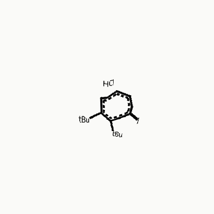 CC(C)(C)c1cccc(I)c1C(C)(C)C.Cl